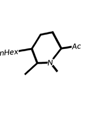 CCCCCCC1CCC(C(C)=O)N(C)C1C